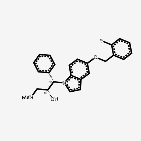 CNC[C@@H](O)[C@H](c1ccccc1)n1ccc2cc(OCc3ccccc3F)ccc21